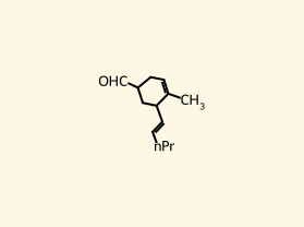 CCCC=C[C]1CC(C=O)CC=C1C